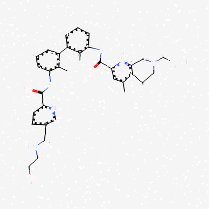 Cc1cc(C(=O)Nc2cccc(-c3cccc(NC(=O)c4ccc(CNCCO)cn4)c3C)c2Cl)nc2c1CCN(CC(=O)O)C2